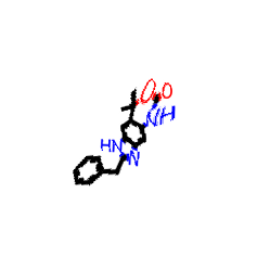 CC1(C)OC(=O)Nc2cc3nc(Cc4ccccc4)[nH]c3cc21